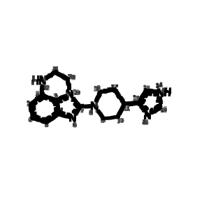 c1cc2c3c(c1)nc(N1CCC(c4c[nH]cn4)CC1)n3CCN2